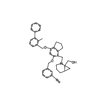 Cc1c(COc2cc(OCc3cccc(C#N)c3)c(CN3CCCC4CC43CO)c3c2CCC3)cccc1-c1ccccc1